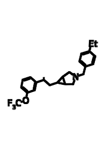 CCc1ccc(CN2CC3C(C[CH]c4cccc(OC(F)(F)F)c4)C3C2)cc1